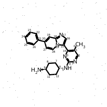 Cc1cnc(N[C@H]2CC[C@H](N)CC2)nc1-c1cnc2cc(-c3ccccc3)ccn12